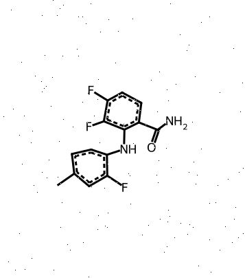 Cc1ccc(Nc2c(C(N)=O)ccc(F)c2F)c(F)c1